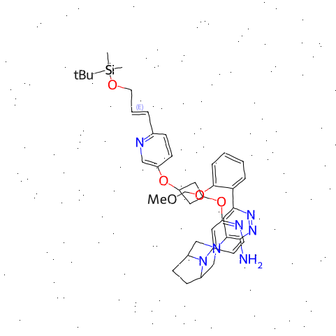 COCOc1ccccc1-c1cc(N2CC3CCC(C2)N3c2ccnc(OC3CC(Oc4ccc(/C=C/CO[Si](C)(C)C(C)(C)C)nc4)C3)c2)c(N)nn1